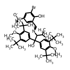 COc1c(C(C)(C)C)cc(C(O)(c2cc(C(C)(C)C)c(OC)c(C(C)(C)C)c2)C(N=Cc2cc([N+](=O)[O-])cc(Br)c2O)C(C)C)cc1C(C)(C)C